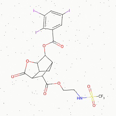 O=C(OC1C2CC3C1OC(=O)C3C2C(=O)OCCNS(=O)(=O)C(F)(F)F)c1cc(I)cc(I)c1I